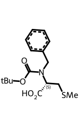 CSC[C@H](C(=O)O)N(Cc1ccccc1)C(=O)OC(C)(C)C